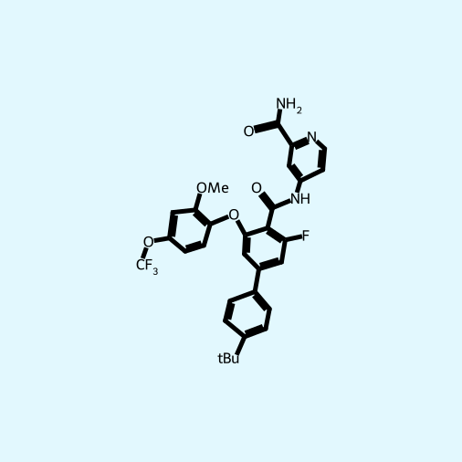 COc1cc(OC(F)(F)F)ccc1Oc1cc(-c2ccc(C(C)(C)C)cc2)cc(F)c1C(=O)Nc1ccnc(C(N)=O)c1